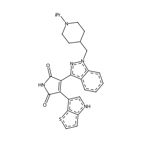 CC(C)N1CCC(Cn2nc(C3=C(c4c[nH]c5ccsc45)C(=O)NC3=O)c3ccccc32)CC1